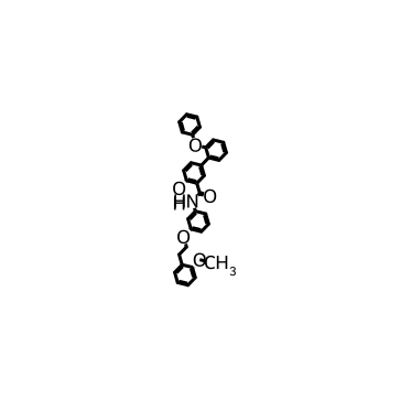 COc1ccccc1CCOc1cccc(NC(=O)c2cc(-c3ccccc3Oc3ccccc3)ccc2O)c1